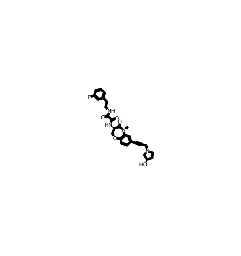 CN1C(=O)[C@@H](NC(=O)C(=O)NCCc2cccc(F)c2)COc2ccc(C#CCN3CC[C@@H](O)C3)cc21